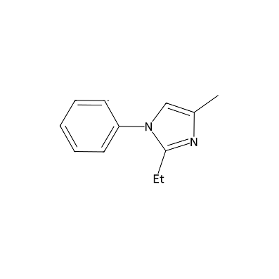 CCc1nc(C)cn1-c1[c]cccc1